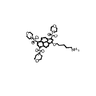 NCCCCCOc1cc(S(=O)(=O)N2CCOCC2)c2ccc3c(S(=O)(=O)N4CCOCC4)cc(S(=O)(=O)N4CCOCC4)c4ccc1c2c43